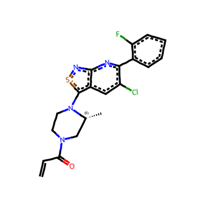 C=CC(=O)N1CCN(c2snc3nc(-c4ccccc4F)c(Cl)cc23)[C@H](C)C1